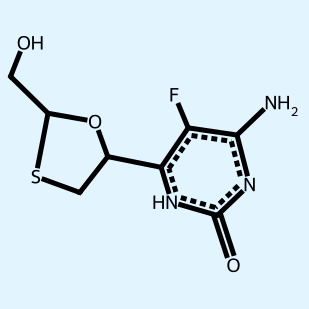 Nc1nc(=O)[nH]c(C2CSC(CO)O2)c1F